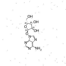 Nc1ncnc2c1ncn2O[C@H]1O[C@H](CO)[C@H](O)[C@H]1O